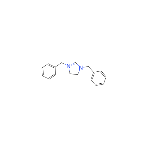 C1=[N+](Cc2ccccc2)CCN1Cc1ccccc1